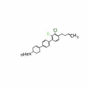 C=CCCc1ccc(-c2ccc(C3=CCC(CCCCCC)CC3)cc2)c(F)c1Cl